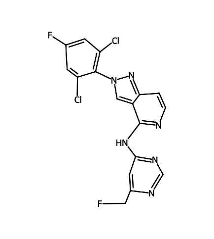 FCc1cc(Nc2nccc3nn(-c4c(Cl)cc(F)cc4Cl)cc23)ncn1